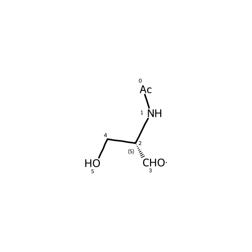 CC(=O)N[C@H]([C]=O)CO